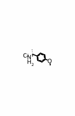 [CH2-][NH2+][C@H](C)c1ccc(OC)cc1